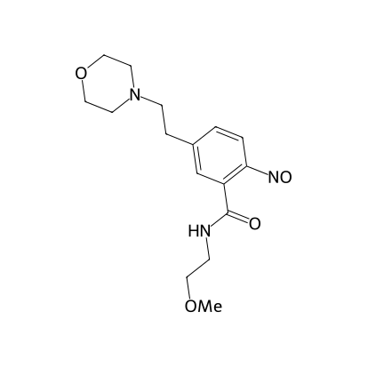 COCCNC(=O)c1cc(CCN2CCOCC2)ccc1N=O